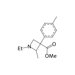 CCN1CC(C(=O)OC)(c2ccc(C)cc2)C1C